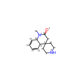 CN1C(=O)CC2(CCNCC2)C2C=CC=CC21